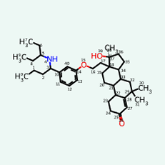 CCCC(NC(CC)CC)c1cccc(OCCC23CCC4C5CCC(=O)C=C5C(C)(C)CC4C2CC[C@]3(C)O)c1